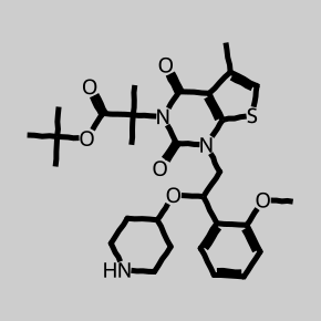 COc1ccccc1C(Cn1c(=O)n(C(C)(C)C(=O)OC(C)(C)C)c(=O)c2c(C)csc21)OC1CCNCC1